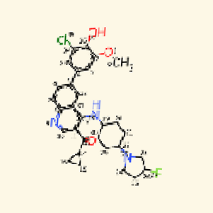 COc1cc(-c2ccc3ncc(C(=O)C4CC4)c(NC4CCC(N5CCC(F)C5)CC4)c3c2)cc(Cl)c1O